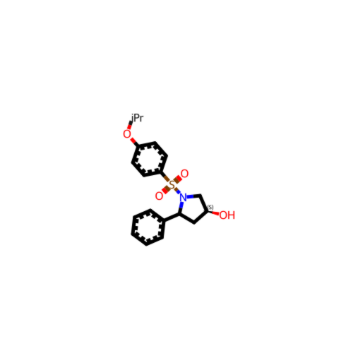 CC(C)Oc1ccc(S(=O)(=O)N2C[C@@H](O)CC2c2ccccc2)cc1